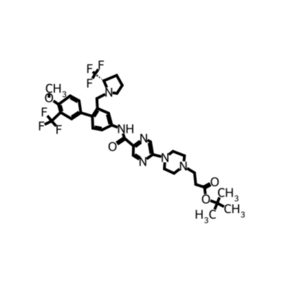 COc1ccc(-c2ccc(NC(=O)c3cnc(N4CCN(CCC(=O)OC(C)(C)C)CC4)cn3)cc2CN2CCC[C@H]2C(F)(F)F)cc1C(F)(F)F